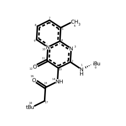 CC[C@@H](C)Nc1nc2c(C)cccn2c(=O)c1NC(=O)CC(C)(C)C